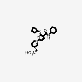 O=C(O)C[C@H]1CCCN(c2ccc(C(=O)NC3CCCCC3)c(SC3CCCC3)n2)C1